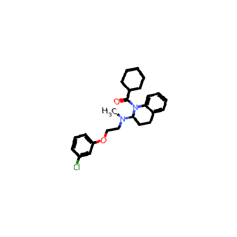 CN(CCOc1cccc(Cl)c1)C1CCc2ccccc2N1C(=O)C1CCCCC1